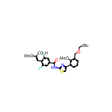 COC(=Cc1c(F)cc(C(=O)Nc2nc(-c3cccc(COCC(C)(C)C)c3OC)cs2)cc1F)C(=O)O